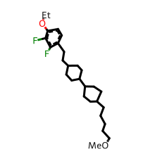 CCOc1ccc(CCC2CCC(C3CCC(CCCCCOC)CC3)CC2)c(F)c1F